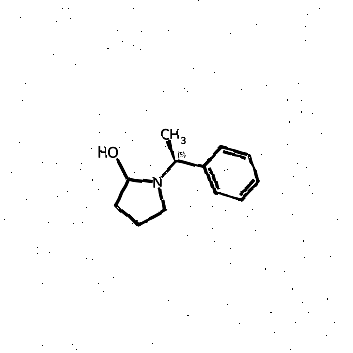 C[C@@H](c1ccccc1)N1CCCC1O